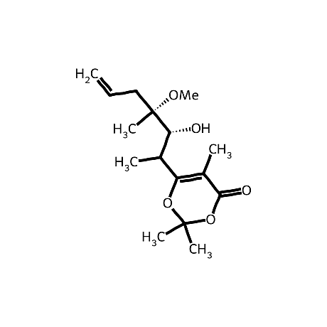 C=CC[C@@](C)(OC)[C@H](O)C(C)C1=C(C)C(=O)OC(C)(C)O1